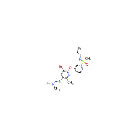 CCN(C)C=Nc1cc(Br)c(Oc2cccc(S(C)(=O)=NCCC(C)C)c2)nc1C